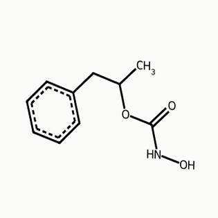 CC(Cc1ccccc1)OC(=O)NO